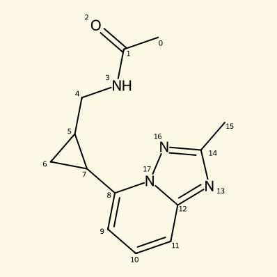 CC(=O)NCC1CC1c1cccc2nc(C)nn12